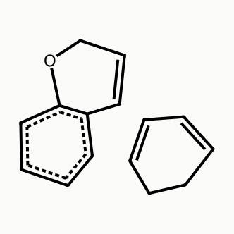 C1=CCCC=C1.C1=Cc2ccccc2OC1